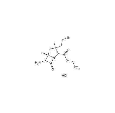 CC1(CCBr)S[C@H]2C(N)C(=O)N2C1C(=O)OCC(Cl)(Cl)Cl.Cl